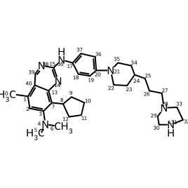 Cc1cc(N(C)C)c(C2CCCC2)c2nc(Nc3ccc(N4CCC(CCCN5CCNCC5)CC4)cc3)ncc12